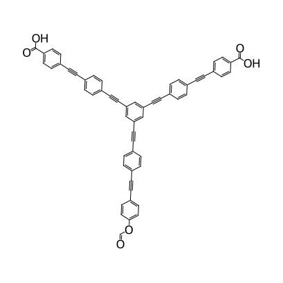 O=COc1ccc(C#Cc2ccc(C#Cc3cc(C#Cc4ccc(C#Cc5ccc(C(=O)O)cc5)cc4)cc(C#Cc4ccc(C#Cc5ccc(C(=O)O)cc5)cc4)c3)cc2)cc1